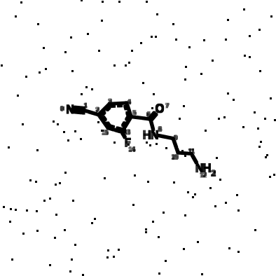 N#Cc1ccc(C(=O)NCCCN)c(F)c1